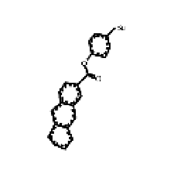 CCC(C)c1ccc(OC(=O)c2ccc3cc4ccccc4cc3c2)cc1